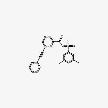 Cc1cc(C)cc(S(C)(=O)=NC(=O)c2cncc(C#Cc3ccccn3)c2)c1